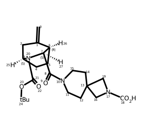 C=C1C[C@@H]2CC[C@H]1[C@@H](C(=O)N1CCC3(CC1)CN(C(=O)O)C3)N2C(=O)OC(C)(C)C